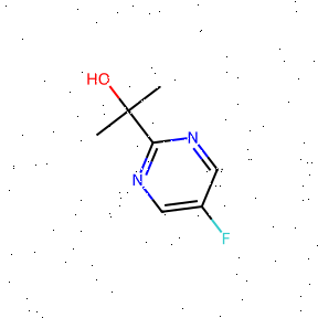 CC(C)(O)c1n[c]c(F)cn1